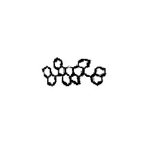 C1=c2cccc(-c3c4ccccc4c(Oc4c5ccccc5c(-c5cccc6ccccc56)c5ccccc45)c4ccccc34)c2=CCC1